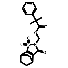 CC(C)(C(=O)OCN1C(=O)C2=C(C3CCC2CC3)S1(=O)=O)c1ccccc1